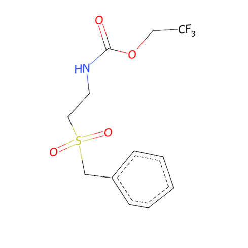 O=C(NCCS(=O)(=O)Cc1ccccc1)OCC(F)(F)F